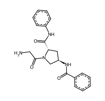 NCC(=O)N1C[C@H](NC(=O)c2ccccc2)C[C@H]1C(=O)Nc1ccccc1